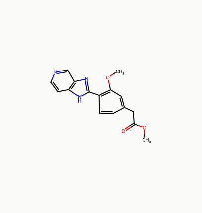 COC(=O)Cc1ccc(-c2nc3cnccc3[nH]2)c(OC)c1